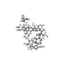 CC[C@H](C)[C@H](N)C(=O)N1CCC[C@H]1C(=O)N[C@H](C(=O)N1CCC[C@H]1C(=O)N[C@H](C(=O)N[C@@H](CC(C)C)C(=O)N[C@H](C(=O)N[C@@H](Cc1ccccc1)C(=O)N[C@@H](CCCNC(=N)N)C(=O)N[C@@H](CO)C(=O)O)[C@@H](C)CC)[C@@H](C)CC)[C@@H](C)O